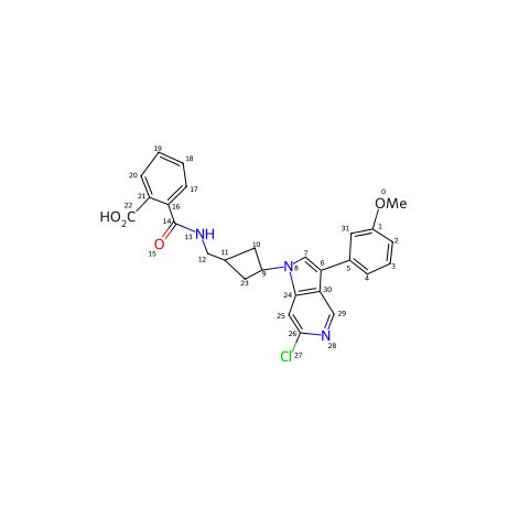 COc1cccc(-c2cn(C3CC(CNC(=O)c4ccccc4C(=O)O)C3)c3cc(Cl)ncc23)c1